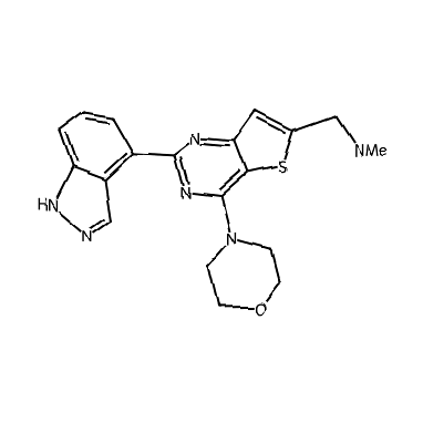 CNCc1cc2nc(-c3cccc4[nH]ncc34)nc(N3CCOCC3)c2s1